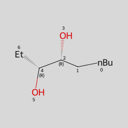 CCCCC[C@@H](O)[C@H](O)CC